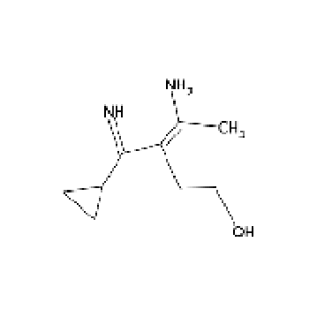 C/C(N)=C(\CCO)C(=N)C1CC1